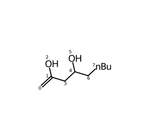 C=C(O)CC(O)CCCCC